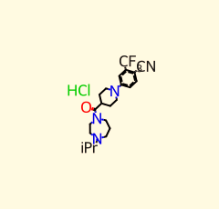 CC(C)N1CCCN(C(=O)C2CCN(c3ccc(C#N)c(C(F)(F)F)c3)CC2)CC1.Cl